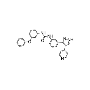 O=C(Nc1cccc(Oc2ccccc2)c1)Nc1cccc(-c2n[nH]cc2-c2ccncc2)c1